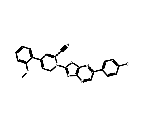 COc1ccccc1C1=CCN(c2nc3ncc(-c4ccc(Cl)cc4)nc3s2)C(C#N)=C1